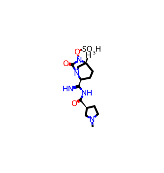 CN1CC[C@H](C(=O)NC(=N)[C@@H]2CC[C@@H]3CN2C(=O)N3OS(=O)(=O)O)C1